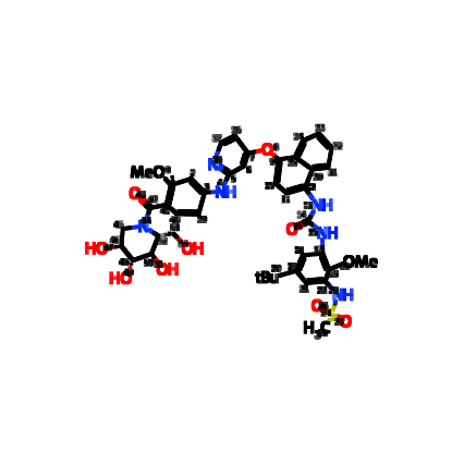 COc1cc(Nc2cc(Oc3ccc(NC(=O)Nc4cc(C(C)(C)C)cc(NS(C)(=O)=O)c4OC)c4ccccc34)ccn2)ccc1C(=O)N1C[C@H](O)[C@@H](O)[C@H](O)[C@H]1CO